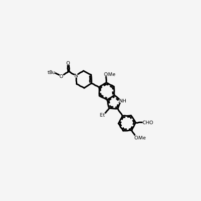 CCc1c(-c2ccc(OC)c(C=O)c2)[nH]c2cc(OC)c(C3=CCN(C(=O)OC(C)(C)C)CC3)cc12